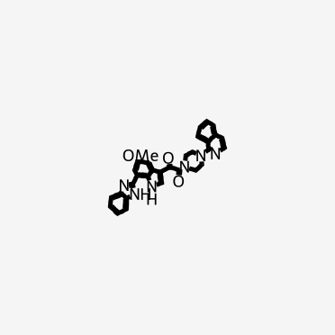 COc1ccc(-c2nc3ccccc3[nH]2)c2[nH]cc(C(=O)C(=O)N3CCN(c4nccc5ccccc45)CC3)c12